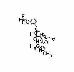 Cc1cc(C(=O)Nc2c3c(nn2CCC2CC2)C[C@H](CCc2cccc(OCC(F)(F)F)c2)NC3=O)n(C)n1